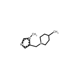 CC1CCN(Cc2cncn2C)CC1